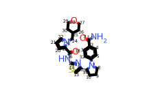 NC(=O)c1ccc(N2CCC[C@@H]2c2csc(NC(=O)c3cccn3CC3CCOCC3)n2)cc1